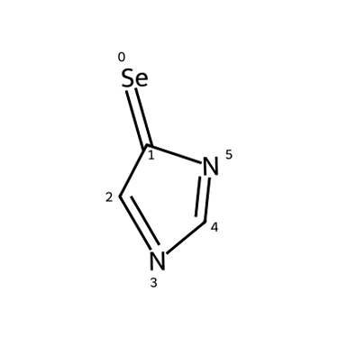 [Se]=C1C=NC=N1